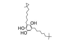 CC(C)(C)CCCCCCc1cc(O)c(O)c(CCCCCCC2(C)CC2)c1O